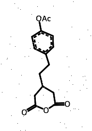 CC(=O)Oc1ccc(CCC2CC(=O)OC(=O)C2)cc1